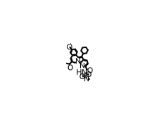 COc1ccc2c(c1)C=C(C(C)=O)Cn1c-2c(C2CCCCC2)c2ccc(C(=O)NS(=O)(=O)N(C)C)nc21